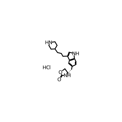 Cl.O=C1N[C@@H](Cc2ccc3[nH]cc(CCCC4CCNCC4)c3c2)CO1